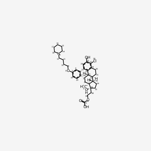 C[C@]12C[C@H](c3ccc(OCCCCN4CCCCC4)cc3)[C@@H]3c4ccc(O)c(Cl)c4CC[C@H]3[C@@H]1CC[C@@]2(O)CCOC(=O)O